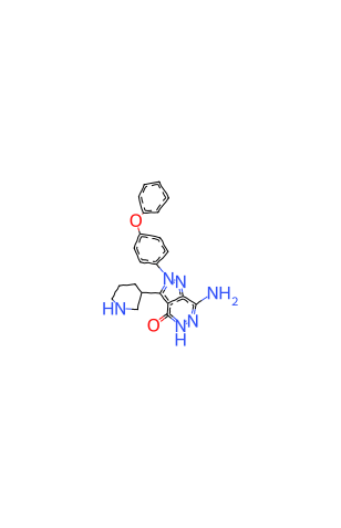 Nc1n[nH]c(=O)c2c(C3CCCNC3)n(-c3ccc(Oc4ccccc4)cc3)nc12